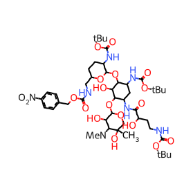 CNC1C(O)C(OC2C(NC(=O)C(O)CCNC(=O)OC(C)(C)C)CC(NC(=O)OC(C)(C)C)C(OC3OC(CNC(=O)OCc4ccc([N+](=O)[O-])cc4)CCC3NC(=O)OC(C)(C)C)C2O)OCC1(C)O